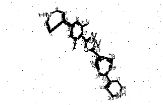 Cc1cc(C2=CCNCC2)cc(C)c1-c1nnc(-c2ccc(C3=CCNCC3)cc2)o1